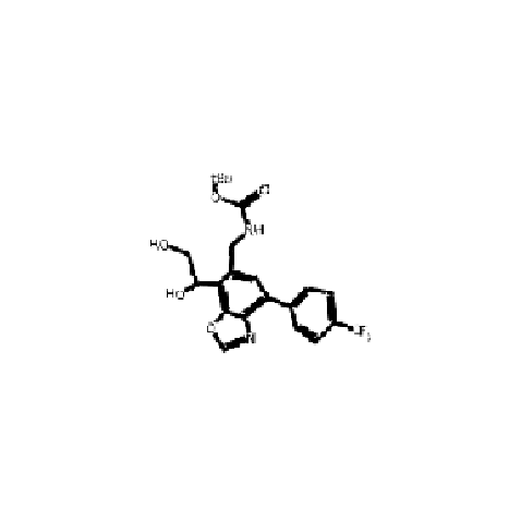 CC(C)(C)OC(=O)NCc1cc(-c2ccc(C(F)(F)F)cc2)c2ncoc2c1C(O)CO